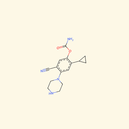 N#Cc1cc(OC(N)=O)c(C2CC2)cc1N1CCNCC1